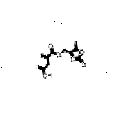 C=C(CC(=O)O)C(=O)OCc1oc(=O)oc1C